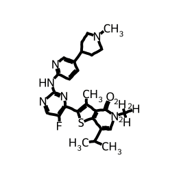 [2H]C([2H])([2H])n1cc(C(C)C)c2sc(-c3nc(Nc4ccc(C5CCN(C)CC5)cn4)ncc3F)c(C)c2c1=O